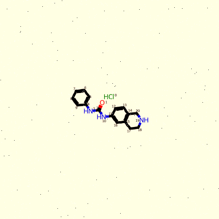 Cl.O=C(Nc1ccccc1)Nc1ccc2c(c1)CCNC2